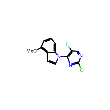 COc1cccc2c1ccn2-c1nc(Cl)ncc1F